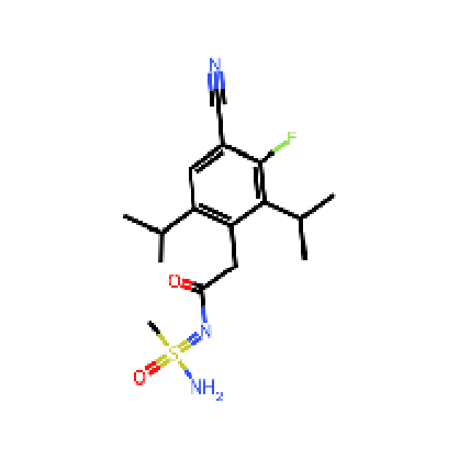 CC(C)c1cc(C#N)c(F)c(C(C)C)c1CC(=O)N=S(C)(N)=O